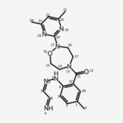 Cc1ccc(N/N=C\C=N)c(C(=O)N2CCON(c3nc(C)cc(C)n3)CC2)c1